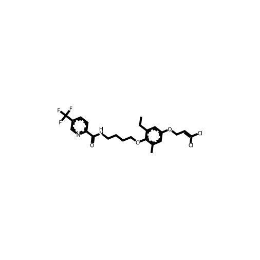 CCc1cc(OCC=C(Cl)Cl)cc(C)c1OCCCCNC(=O)c1ccc(C(F)(F)F)cn1